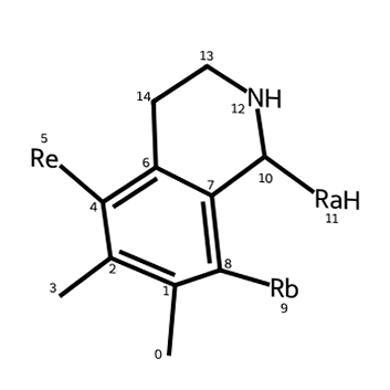 Cc1c(C)[c]([Re])c2c([c]1[Rb])[CH]([RaH])NCC2